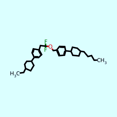 CCCCCC1CCC(c2ccc(COC(F)(F)Cc3ccc(C4CCC(CC)CC4)cc3)cc2)CC1